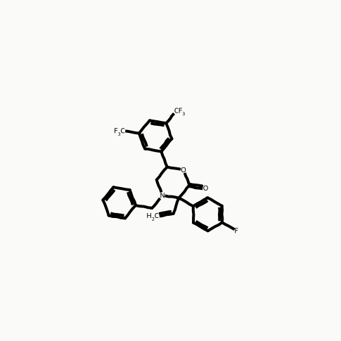 C=CC1(c2ccc(F)cc2)C(=O)OC(c2cc(C(F)(F)F)cc(C(F)(F)F)c2)CN1Cc1ccccc1